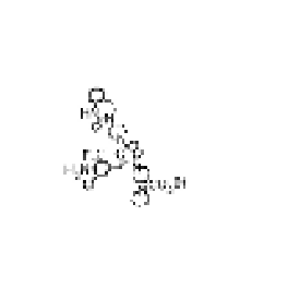 CCOC(=O)C1(N2CCCCC2)CCN(C(=O)[C@@H](Cc2cc(Cl)c(N)c(C(F)(F)F)c2)OC(=O)N2CCC(N3CCc4ccccc4NC3=O)CC2)CC1